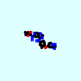 Cc1cc(Nc2ncnc3cnc(NC(=O)OC(C)(C)C)cc23)ccc1Oc1ccn2ncnc2c1